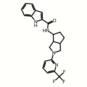 O=C(NC1CCC2CN(c3cccc(C(F)(F)F)n3)CC21)c1cc2ccccc2[nH]1